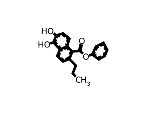 CCCc1ccc2c(O)c(O)ccc2c1C(=O)Oc1ccccc1